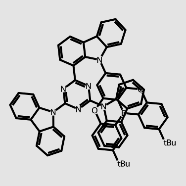 CC(C)(C)c1ccc2c(c1)B1c3cc(C(C)(C)C)ccc3Oc3cc(-n4c5ccccc5c5cccc(-c6nc(-n7c8ccccc8c8ccccc87)nc(-n7c8ccccc8c8ccccc87)n6)c54)cc(c31)O2